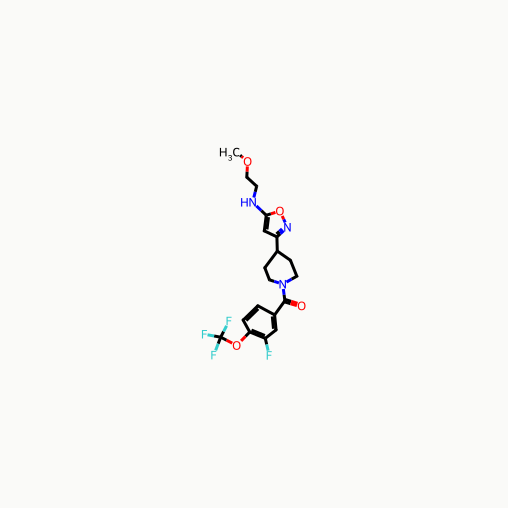 COCCNc1cc(C2CCN(C(=O)c3ccc(OC(F)(F)F)c(F)c3)CC2)no1